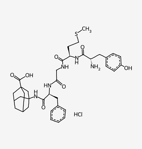 CSCC[C@@H](NC(=O)[C@@H](N)Cc1ccc(O)cc1)C(=O)NCC(=O)N[C@@H](Cc1ccccc1)C(=O)NC12CC3CC(C1)CC(C(=O)O)(C3)C2.Cl